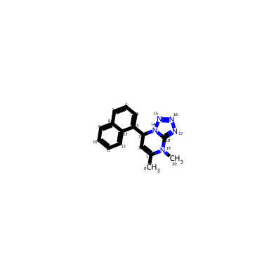 CC1=CC(c2cccc3ccccc23)n2nnnc2N1C